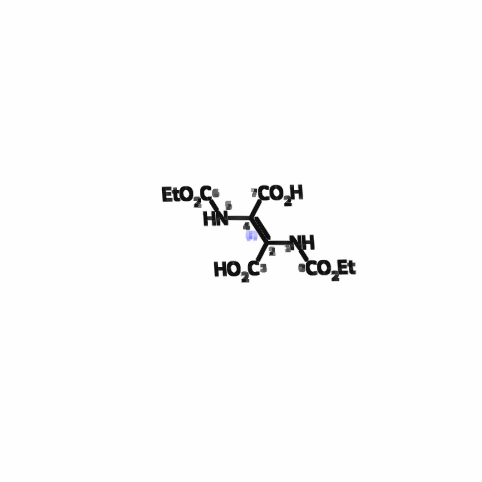 CCOC(=O)N/C(C(=O)O)=C(/NC(=O)OCC)C(=O)O